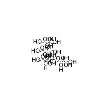 C[C@@H](O)[C@@H](O)[C@H](O)[C@H](O)CO.OC[C@@H](O)[C@@H](O)[C@H](O)[C@@H](O)CO.OC[C@@H](O)[C@@H](O)[C@H](O)[C@H](O)CO.OC[C@@H](O)[C@H](O)[C@@H](O)CO